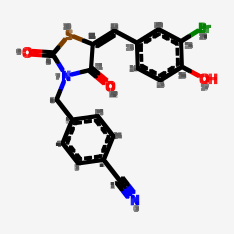 N#Cc1ccc(CN2C(=O)SC(=Cc3ccc(O)c(Br)c3)C2=O)cc1